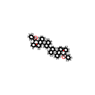 c1ccc(-c2c(-c3c4ccccc4c(-c4ccc(-c5ccc(-c6c7ccccc7c(C7Oc8ccccc8C7c7ccccc7)c7ccccc67)c6ccccc56)c5ccccc45)c4ccccc34)oc3ccccc23)cc1